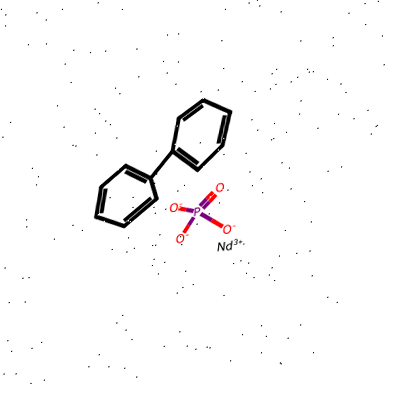 O=P([O-])([O-])[O-].[Nd+3].c1ccc(-c2ccccc2)cc1